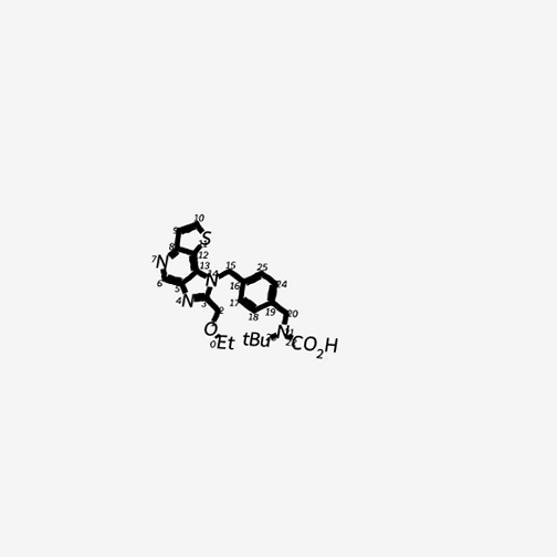 CCOCc1nc2cnc3ccsc3c2n1Cc1ccc(CN(C(=O)O)C(C)(C)C)cc1